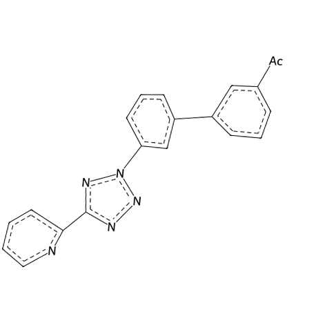 CC(=O)c1cccc(-c2cccc(-n3nnc(-c4ccccn4)n3)c2)c1